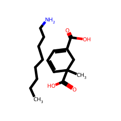 CC1(C(=O)O)C=CC=C(C(=O)O)C1.CCCCCCCCN